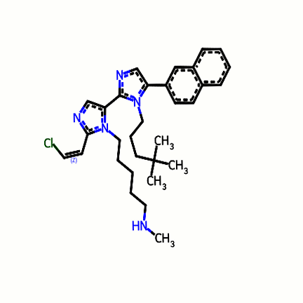 CNCCCCCn1c(-c2ncc(-c3ccc4ccccc4c3)n2CCCC(C)(C)C)cnc1/C=C\Cl